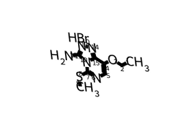 Br.CCOc1cnc(SC)n2c(N)nnc12